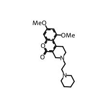 COc1cc(OC)c2c3c(c(=O)oc2c1)CN(CCN1CCCCC1)CC3